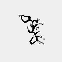 CC1CCCN(C(=O)c2cnn3c(C4CCNCC4)cc(=O)[nH]c23)C1C.Cl